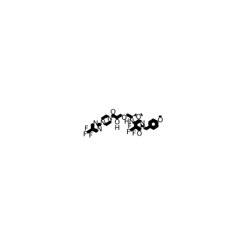 COC[C@@H](COCC(O)C(=O)N1CCN(c2ncc(C(F)(F)F)cn2)CC1)Nc1cnn(Cc2ccc(OC)cc2)c(=O)c1C(F)(F)F